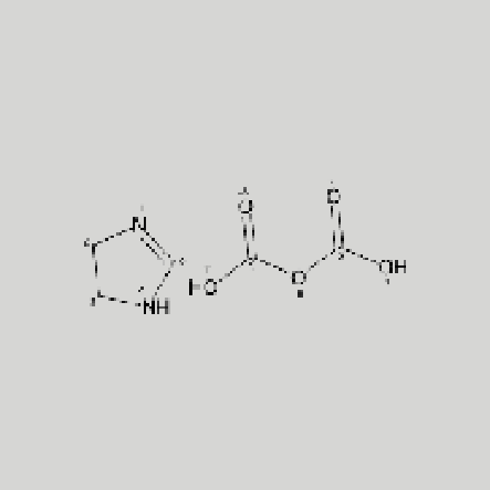 C1=NCCN1.O=C(O)OC(=O)O